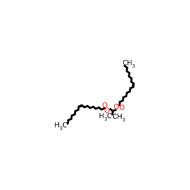 CCCCCCCC/C=C\CCCCCCCC(=O)OCC(COC(=O)CCCCCCC/C=C\CCCCCCCC)C(C)C